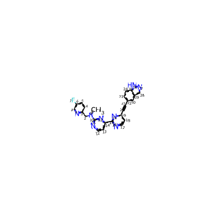 CN(Cc1ccc(F)cn1)c1nccc(-c2nccc(C#Cc3ccc4[nH]ncc4c3)n2)n1